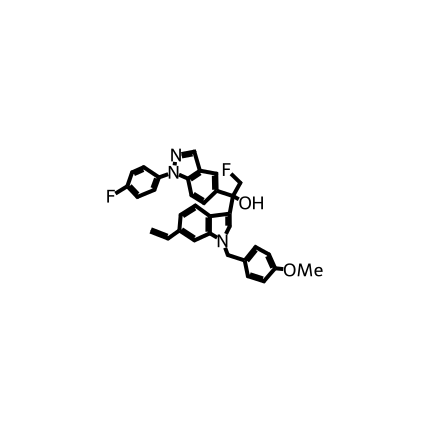 C=Cc1ccc2c(C(O)(CF)c3ccc4c(cnn4-c4ccc(F)cc4)c3)cn(Cc3ccc(OC)cc3)c2c1